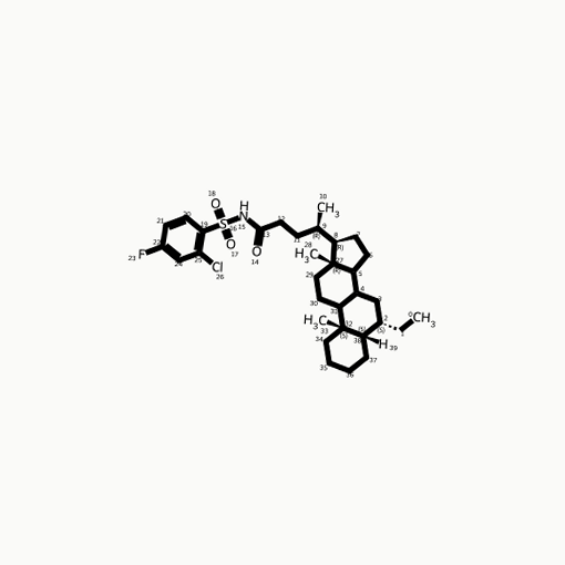 CC[C@H]1CC2C3CC[C@H]([C@H](C)CCC(=O)NS(=O)(=O)c4ccc(F)cc4Cl)[C@@]3(C)CCC2[C@@]2(C)CCCC[C@@H]12